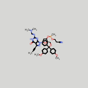 CC#Cc1nn([C@H]2CC(OP(C)OCCC#N)[C@@H](COC(c3ccccc3)(c3ccc(OC)cc3)c3ccc(OC)cc3)O2)c2nc(/N=C/N(C)C)[nH]c(=O)c12